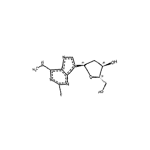 CNc1nc(F)nc2c1ncn2[C@H]1C[C@@H](O)[C@H](CO)O1